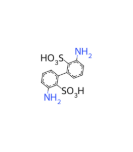 Nc1cccc(-c2cccc(N)c2S(=O)(=O)O)c1S(=O)(=O)O